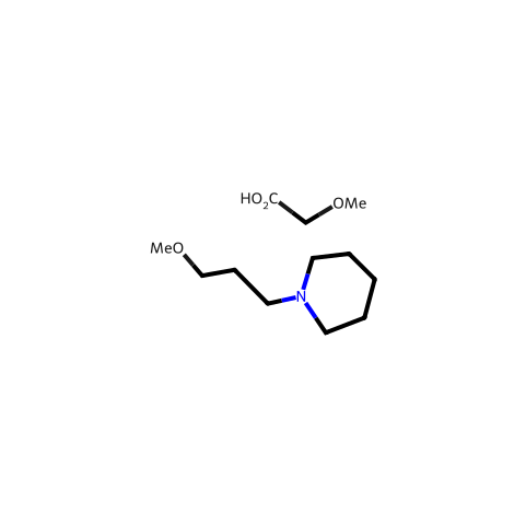 COCC(=O)O.COCCCN1CCCCC1